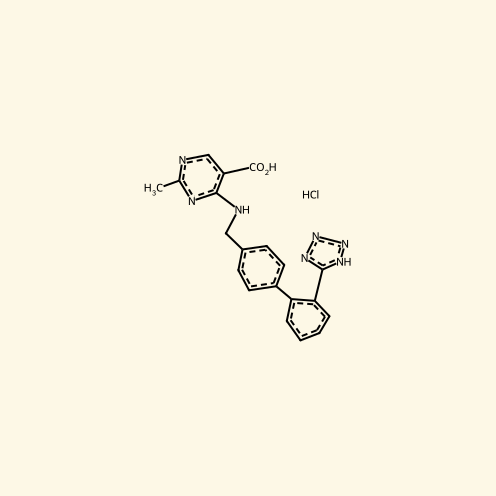 Cc1ncc(C(=O)O)c(NCc2ccc(-c3ccccc3-c3nnn[nH]3)cc2)n1.Cl